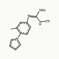 CSC(=Nc1ccc(-n2cccc2)c(C)c1)NC#N